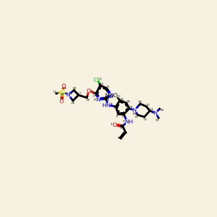 C=CC(=O)Nc1cc(Nc2ncc(Cl)c(OCC3CN(S(C)(=O)=O)C3)n2)c(OC)cc1N1CCC(N(C)C)CC1